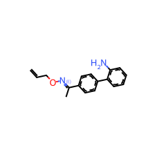 C=CCO/N=C(\C)c1ccc(-c2ccccc2N)cc1